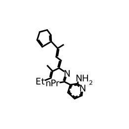 CC/C=C(C)/C(=C\C=C(/C)C1=CCCC=C1)/N=C(\CCC)c1cccnc1N